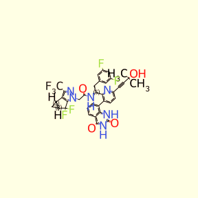 CC(C)(O)C#Cc1ccc(-c2cccc3c(=O)[nH]c(=O)[nH]c23)c([C@H](Cc2cc(F)cc(F)c2)NC(=O)Cn2nc(C(F)(F)F)c3c2C(F)(F)[C@@H]2C[C@H]32)n1